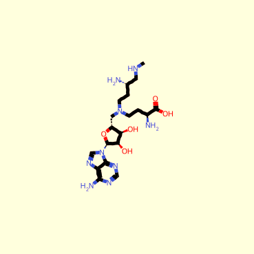 CNC[C@@H](N)CCN(CC[C@H](N)C(=O)O)C[C@H]1O[C@@H](n2cnc3c(N)ncnc32)[C@H](O)[C@@H]1O